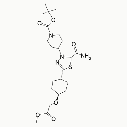 COC(=O)CO[C@H]1CC[C@H](C2=NN(C3CCN(C(=O)OC(C)(C)C)CC3)C(C(N)=O)S2)CC1